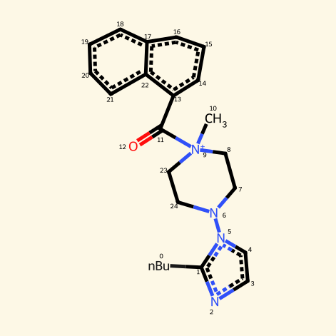 CCCCc1nccn1N1CC[N+](C)(C(=O)c2cccc3ccccc23)CC1